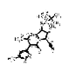 Cc1cc(C(C(=O)N2CC(O[Si](C)(C)C(C)(C)C)C[C@H]2C#N)C(C)C)on1